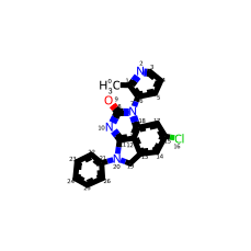 Cc1ncccc1-n1c(=O)nc2c3c(cc(Cl)cc31)CN2c1ccccc1